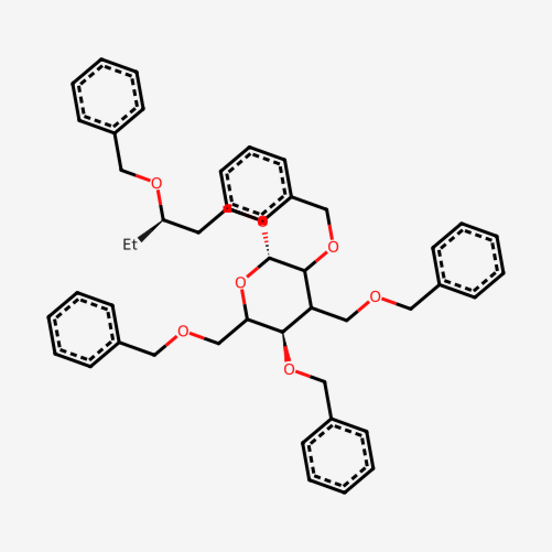 CC[C@H](CCO[C@H]1OC(COCc2ccccc2)[C@H](OCc2ccccc2)C(COCc2ccccc2)C1OCc1ccccc1)OCc1ccccc1